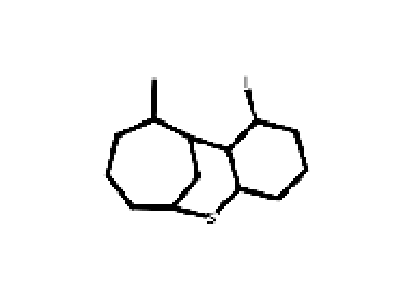 CC1CCCC2CC1C1C(CCC[C@@H]1I)S2